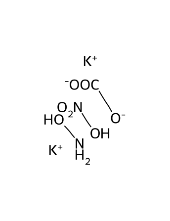 NO.O=C([O-])[O-].O=[N+]([O-])O.[K+].[K+]